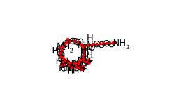 C[C@@]12CCCN1C(=O)[C@H](Cc1ccc(O)cc1)NC(=O)[C@H](Cc1cnc[nH]1)NC(=O)[C@H](CC(=O)O)NC(=O)[C@H](Cc1c[nH]c3ccc(F)cc13)NC(=O)[C@H](Cc1c[nH]c3ccc(F)cc13)NC(=O)CNC(=O)[C@H](CCCCNC(=O)CCOCCOCCOCCOCCN)NC(=O)CCSCc1cccc(c1)CSCC(C(N)=O)NC2=O